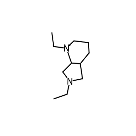 CCN1CC2CCCN(CC)C2C1